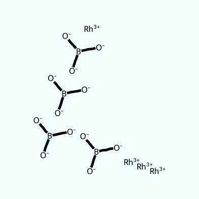 [O-]B([O-])[O-].[O-]B([O-])[O-].[O-]B([O-])[O-].[O-]B([O-])[O-].[Rh+3].[Rh+3].[Rh+3].[Rh+3]